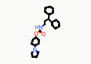 O=C(NCCC(c1ccccc1)c1ccccc1)Oc1ccc(-n2cccc2)cc1